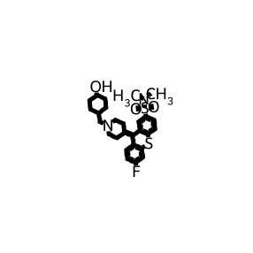 CN(C)S(=O)(=O)c1ccc2c(c1)C(=C1CCN(CC3CCC(O)CC3)CC1)c1ccc(F)cc1S2